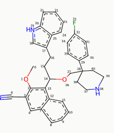 COc1c(C#N)cc2ccccc2c1C(CCc1c[nH]c2ccccc12)OCC1(c2ccc(F)cc2)CCNCC1